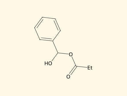 CCC(=O)OC(O)c1ccccc1